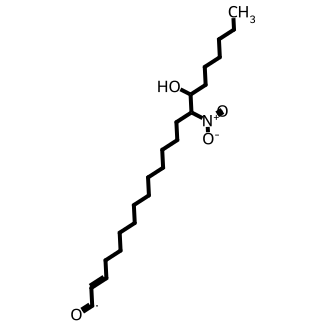 CCCCCCC(O)C(CCCCCCCCCCCC=C[C]=O)[N+](=O)[O-]